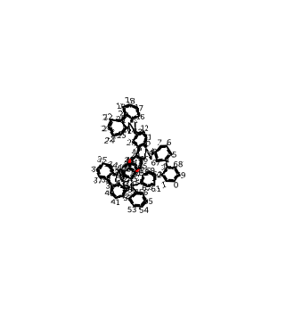 c1ccc(-c2cccc(-n3c4ccc(-n5c6ccccc6c6ccccc65)cc4c4cc(-n5c6ccccc6c6cccc([Si](c7ccccc7)(c7ccccc7)c7ccccc7)c65)ccc43)c2)cc1